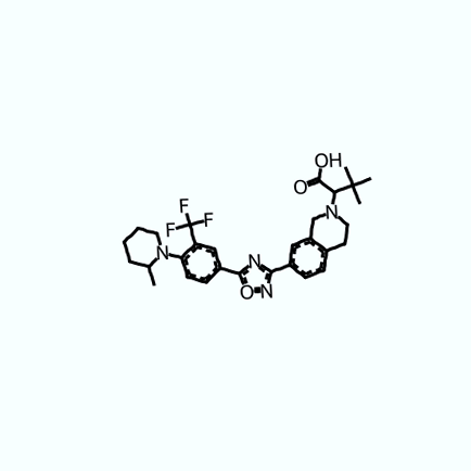 CC1CCCCN1c1ccc(-c2nc(-c3ccc4c(c3)CN(C(C(=O)O)C(C)(C)C)CC4)no2)cc1C(F)(F)F